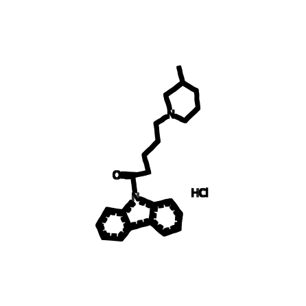 CC1CCCN(CCCCC(=O)n2c3ccccc3c3ccccc32)C1.Cl